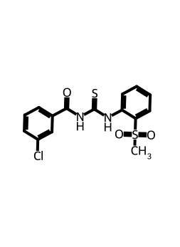 CS(=O)(=O)c1ccccc1NC(=S)NC(=O)c1cccc(Cl)c1